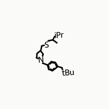 CC(C)C(C)CSCC1CCN(Cc2ccc(CC(C)(C)C)cc2)C1